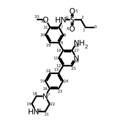 CCCS(=O)(=O)Nc1cc(-c2cc(-c3ccc(N4CCNCC4)cc3)cnc2N)ccc1OC